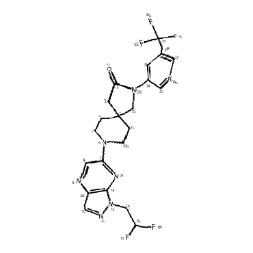 O=C1CC2(CCN(c3cnc4cnn(CC(F)F)c4n3)CC2)CN1c1cncc(C(F)(F)F)c1